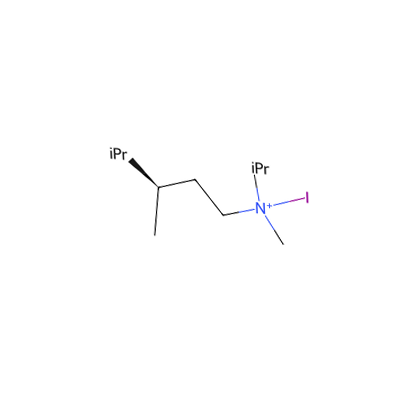 CC(C)[C@H](C)CC[N+](C)(I)C(C)C